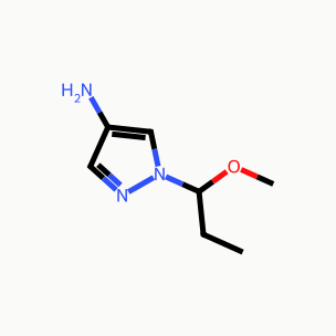 CCC(OC)n1cc(N)cn1